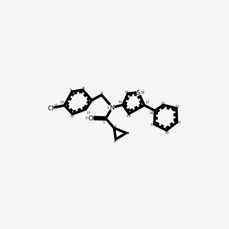 O=C(C1CC1)N(Cc1ccc(Cl)cc1)c1csc(-c2ccccc2)c1